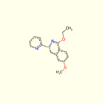 CCOc1nc(-c2ccccn2)cc2cc(OC)ccc12